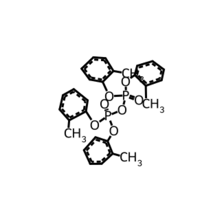 Cc1ccccc1OP(=O)(Oc1ccccc1C)OP(=O)(Oc1ccccc1C)Oc1ccccc1C